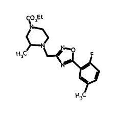 CCOC(=O)N1CCN(Cc2noc(-c3cc(C)ccc3F)n2)C(C)C1